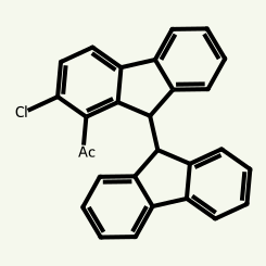 CC(=O)c1c(Cl)ccc2c1C(C1c3ccccc3-c3ccccc31)c1ccccc1-2